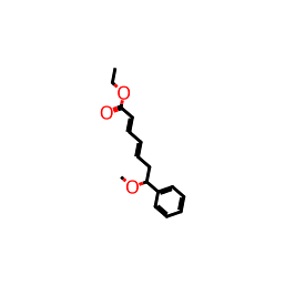 CCOC(=O)C=CC=CCC(OC)c1ccccc1